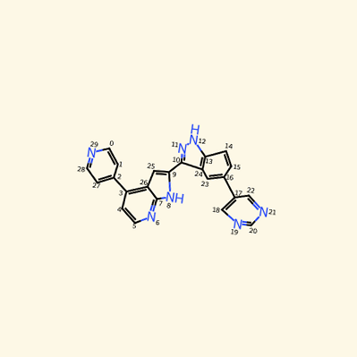 c1cc(-c2ccnc3[nH]c(-c4n[nH]c5ccc(-c6cncnc6)cc45)cc23)ccn1